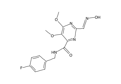 COc1nc(/C=N/O)nc(C(=O)NCc2ccc(F)cc2)c1OC